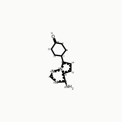 Nc1ncnn2c(C3CCC(=O)CC3)ccc12